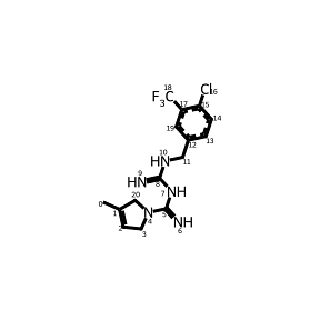 CC1=CCN(C(=N)NC(=N)NCc2ccc(Cl)c(C(F)(F)F)c2)C1